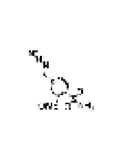 COc1cc(CN=[N+]=[N-])ccc1S(N)(=O)=O